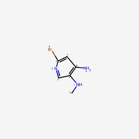 CNc1cnc(Br)cc1N